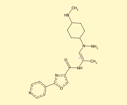 CBC1CCC(N(N)/C=C(\C)NC(=O)c2coc(-c3ccncc3)n2)CC1